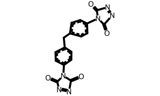 O=C1N=NC(=O)N1c1ccc(Cc2ccc(N3C(=O)N=NC3=O)cc2)cc1